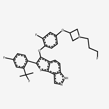 CC(C)(F)c1cc(F)ccc1-c1sc2c(ccc3[nH]ncc32)c1Oc1ccc(OC2CN(CCCF)C2)cc1F